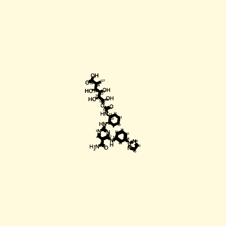 NC(=O)c1cnc(N[C@@H]2CCCC[C@@H]2NC(=O)O[C@@H](O)[C@@H](O)C(O)[C@H](O)C(I)C(=O)O)nc1Nc1cccc(-n2nccn2)c1